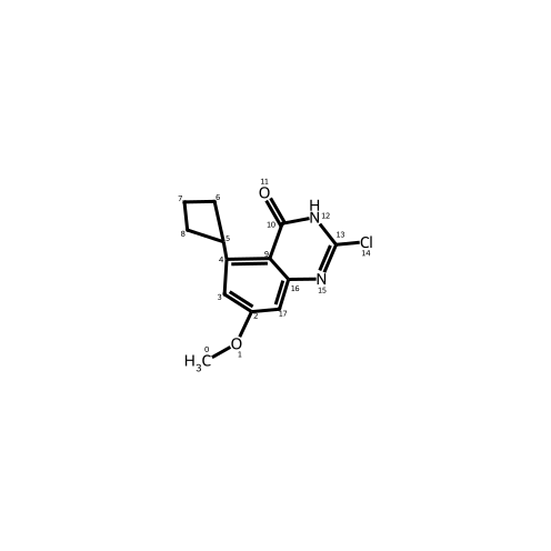 COc1cc(C2CCC2)c2c(=O)[nH]c(Cl)nc2c1